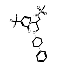 CS(=O)(=O)NCC(CO[C@H]1CC[C@@H](c2ccccc2)CC1)n1ccc(C(F)(F)F)cc1=O